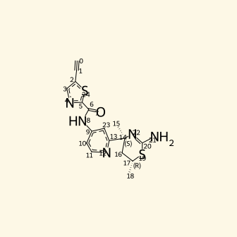 C#Cc1cnc(C(=O)Nc2ccnc([C@]3(C)C[C@@H](C)SC(N)=N3)c2)s1